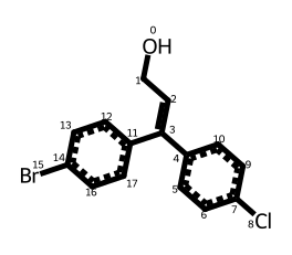 OCC=C(c1ccc(Cl)cc1)c1ccc(Br)cc1